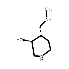 CNC[C@@H]1CCNC[C@H]1O